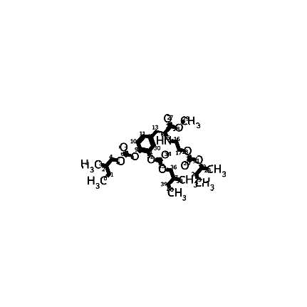 CCC(C)COC(=O)Oc1ccc(C[C@H](NCCOC(=O)OC(C)CC)C(=O)OC)cc1OC(=O)OCC(C)CC